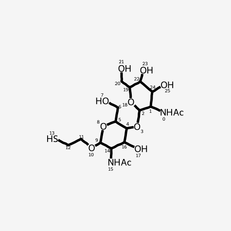 CC(=O)NC1C(OC2C(CO)OC(OCCS)C(NC(C)=O)C2O)OC(CO)C(O)C1O